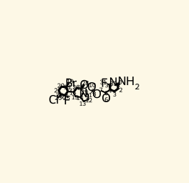 Nc1ccc(C(=O)COC(=O)[C@@H]2CCC3CC(c4c(Br)ccc(Cl)c4F)=CC(=O)N32)c(F)n1